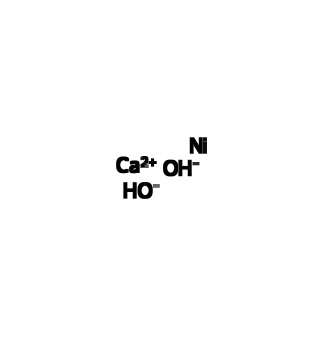 [Ca+2].[Ni].[OH-].[OH-]